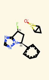 F[C@H]1C[C@@H](c2ccccc2)n2ncnc21.[O-][S+]1C2CC21